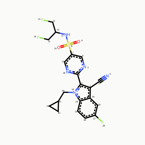 N#Cc1c(-c2ncc(S(=O)(=O)NC(CF)CF)cn2)n(CC2CC2)c2ccc(F)cc12